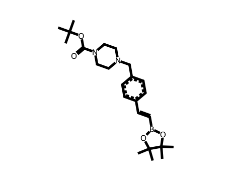 CC(C)(C)OC(=O)N1CCN(Cc2ccc(/C=C/B3OC(C)(C)C(C)(C)O3)cc2)CC1